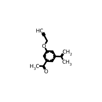 C#CCOc1cc(C(=C)C)cc(C(C)=O)c1